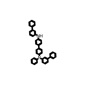 c1ccc(-c2cccc(Nc3ccc(-c4ccc(N(c5ccccc5)c5cccc(-c6ccccc6)c5)cc4)cc3)c2)cc1